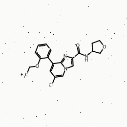 O=C(N[C@H]1CCOC1)c1cn2cc(Cl)cc(-c3ccccc3OCC(F)(F)F)c2n1